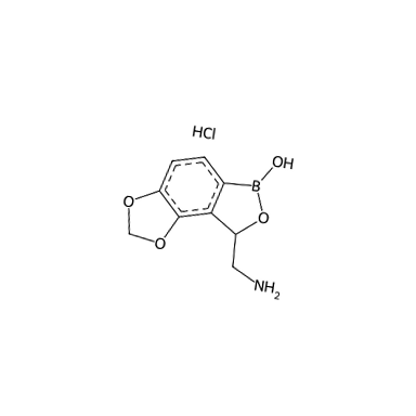 Cl.NCC1OB(O)c2ccc3c(c21)OCO3